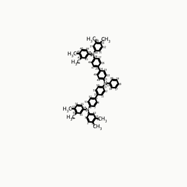 Cc1ccc(N(c2ccc(-c3ccc(N(c4ccccc4)c4ccc(-c5ccc(N(c6ccc(C)c(C)c6)c6ccc(C)c(C)c6)cc5)cc4)cc3)cc2)c2ccc(C)c(C)c2)cc1C